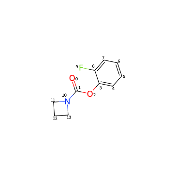 O=C(Oc1ccccc1F)N1CCC1